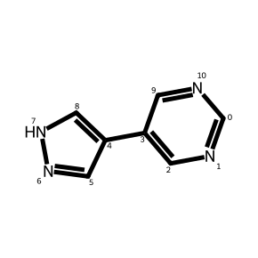 c1ncc(-c2cn[nH]c2)cn1